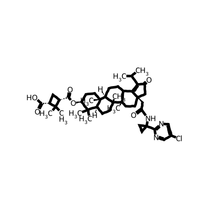 CC(C)C1=C2C3CC[C@@H]4[C@@]5(C)CC[C@H](OC(=O)[C@H]6C[C@@H](C(=O)O)C6(C)C)C(C)(C)[C@@H]5CC[C@@]4(C)[C@]3(C)CC[C@@]2(CC(=O)NC2(c3ncc(Cl)cn3)CC2)CC1=O